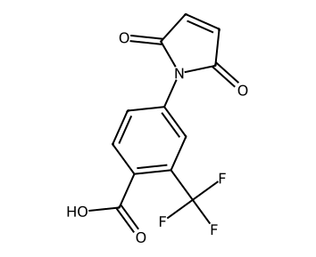 O=C(O)c1ccc(N2C(=O)C=CC2=O)cc1C(F)(F)F